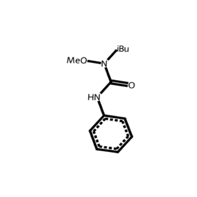 CCC(C)N(OC)C(=O)Nc1ccccc1